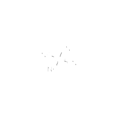 N#[C][Co-2]([C]#N)([C]#N)[C]#N